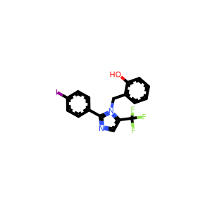 Oc1ccccc1Cn1c(C(F)(F)F)cnc1-c1ccc(I)cc1